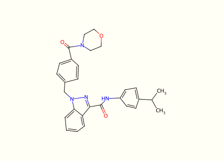 CC(C)c1ccc(NC(=O)c2nn(Cc3ccc(C(=O)N4CCOCC4)cc3)c3ccccc23)cc1